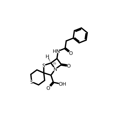 O=C(Cc1ccccc1)NC1C(=O)N2C(C(=O)O)C3(CCSCC3)S[C@@H]12